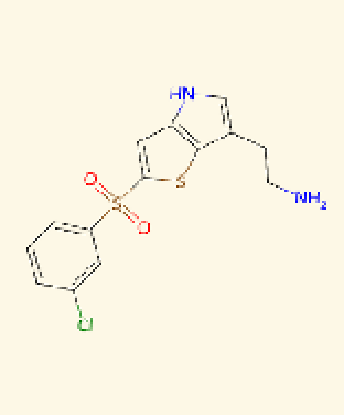 NCCc1c[nH]c2cc(S(=O)(=O)c3cccc(Cl)c3)sc12